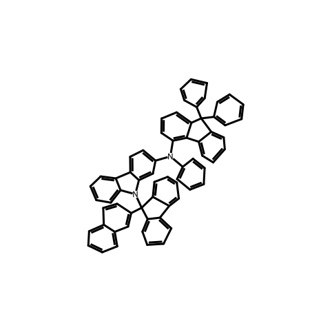 c1ccc(N(c2ccc3c4ccccc4n(C4(c5ccc6ccccc6c5)c5ccccc5-c5ccccc54)c3c2)c2cccc3c2-c2ccccc2C3(c2ccccc2)c2ccccc2)cc1